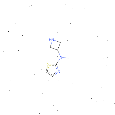 CN(c1nccs1)C1CNC1